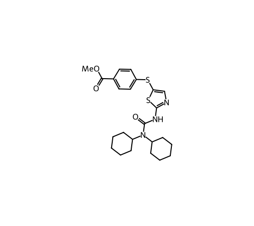 COC(=O)c1ccc(Sc2cnc(NC(=O)N(C3CCCCC3)C3CCCCC3)s2)cc1